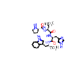 O=C(O)C[C@H](NC(=O)[C@@H]1CCCN1)C(=O)N[C@@H](Cc1c[nH]cn1)C(=O)N[C@@H](Cc1c[nH]c2ccccc12)C(=O)O